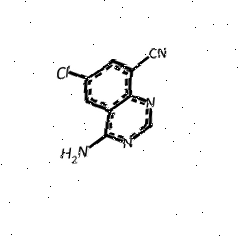 N#Cc1cc(Cl)cc2c(N)ncnc12